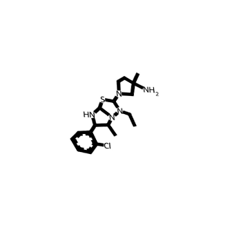 CCN1C(N2CCC(C)(N)C2)SC2NC(c3ccccc3Cl)C(C)N21